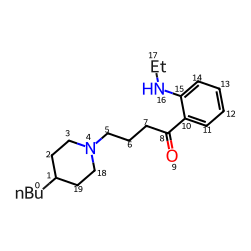 CCCCC1CCN(CCCC(=O)c2ccccc2NCC)CC1